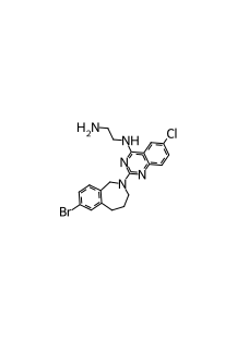 NCCNc1nc(N2CCCc3cc(Br)ccc3C2)nc2ccc(Cl)cc12